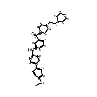 COc1ccc(-c2cnc(Nc3cccc(C(=O)N4CCN(CCN5CCOCC5)CC4)c3)nc2)cc1